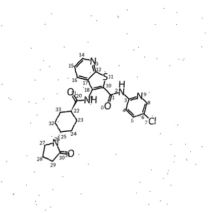 O=C(Nc1ccc(Cl)cn1)c1sc2ncccc2c1NC(=O)[C@H]1CC[C@H](N2CCCC2=O)CC1